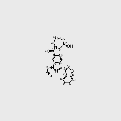 O=C(c1cc2c(cn1)c(-c1coc3ccccc13)nn2CC(F)(F)F)N1CCOCC(O)C1